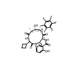 C[C@H]1NC(=O)C(C2CCC2)NC(=O)[C@H](C)[C@H](O)[C@H](Cc2c(F)c(F)c(F)c(F)c2F)NC(=O)[C@H]1NC(=O)c1ccccc1O